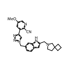 COc1cnc(C#N)c(-c2cn(Cc3ccc4cc(CN5CCC6(CCC6)C5)[nH]c4c3)nn2)c1